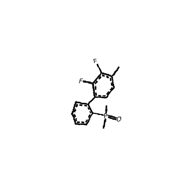 Cc1ccc(-c2ccccc2P(C)(C)=O)c(F)c1F